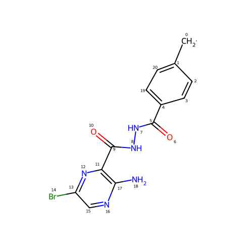 [CH2]c1ccc(C(=O)NNC(=O)c2nc(Br)cnc2N)cc1